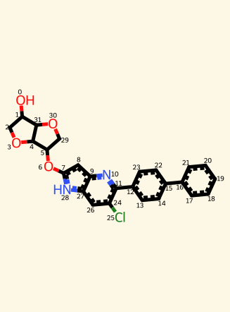 OC1COC2C(Oc3cc4nc(-c5ccc(-c6ccccc6)cc5)c(Cl)cc4[nH]3)COC12